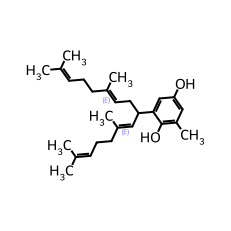 CC(C)=CCC/C(C)=C/CC(/C=C(\C)CCC=C(C)C)c1cc(O)cc(C)c1O